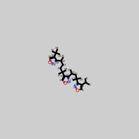 CC(C)c1conc1C(C)(C)CC(C)c1nocc1C(C)(C)CCC(C)c1nocc1C(C)(C)C